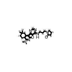 CN(C)c1nc2oc3c(NCCCN4CCCC4=O)ncnc3c2c2c1CCC(C)(C)C2